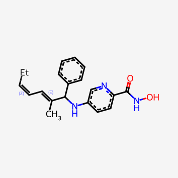 CC/C=C\C=C(/C)C(Nc1ccc(C(=O)NO)nc1)c1ccccc1